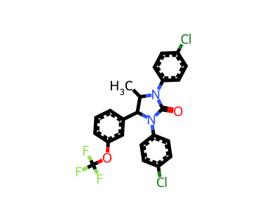 CC1C(c2cccc(OC(F)(F)F)c2)N(c2ccc(Cl)cc2)C(=O)N1c1ccc(Cl)cc1